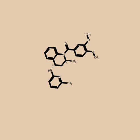 COc1ccc(C(=O)N2c3ccccc3[C@@H](Nc3cccc(C)n3)C[C@@H]2C)cc1OC